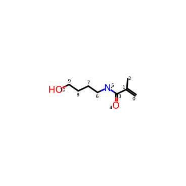 C=C(C)C(=O)[N]CCCCO